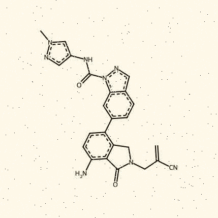 C=C(C#N)CN1Cc2c(-c3ccc4cnn(C(=O)Nc5cnn(C)c5)c4c3)ccc(N)c2C1=O